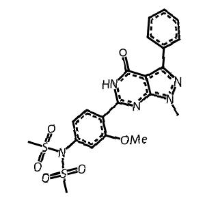 COc1cc(N(S(C)(=O)=O)S(C)(=O)=O)ccc1-c1nc2c(c(-c3ccccc3)nn2C)c(=O)[nH]1